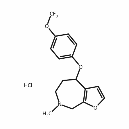 CN1CCC(Oc2ccc(OC(F)(F)F)cc2)c2ccoc2C1.Cl